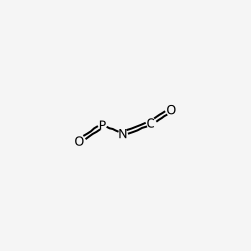 O=C=NP=O